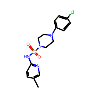 Cc1ccc(NS(=O)(=O)N2CCN(c3ccc(Cl)cc3)CC2)nc1